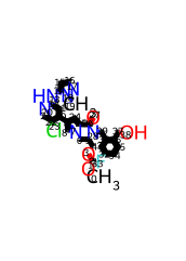 COCOCC1Cn2cc(-c3cc(Nc4ccnn4C)ncc3Cl)cc2C(=O)N1Cc1cc(F)ccc1CO